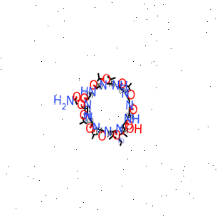 C/C=C/CC(C)[C@H](O)C1C(=O)N[C@@H](CC)C(=O)N(C)CC(=O)N(C)[C@@H](CC(C)C)C(=O)N[C@@H](C(C)C)C(=O)N(C)[C@@H](CC(C)C)C(=O)N[C@@H](C)C(=O)N[C@H](COCC(N)=O)C(=O)N(C)[C@@H](CC(C)C)C(=O)N(C)[C@@H](CC(C)C)C(=O)N(C)[C@@H](C(C)C)C(=O)N1C